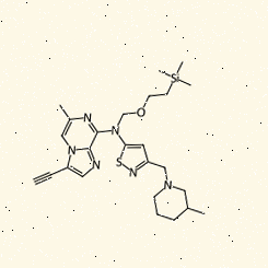 C#Cc1cnc2c(N(COCC[Si](C)(C)C)c3cc(CN4CCCC(C)C4)ns3)nc(C)cn12